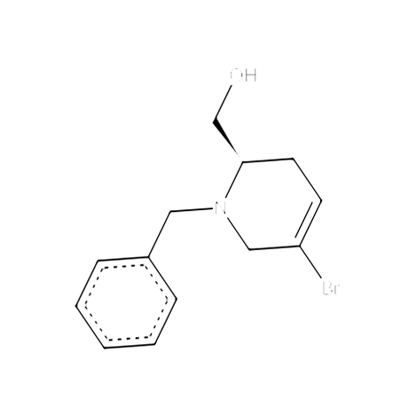 OC[C@H]1CC=C(Br)CN1Cc1ccccc1